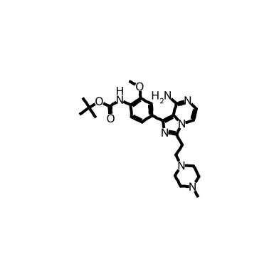 COc1cc(-c2nc(CCN3CCN(C)CC3)n3ccnc(N)c23)ccc1NC(=O)OC(C)(C)C